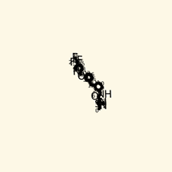 Cc1nnc(C(=O)NC2CCCC(=Cc3cccc(Oc4ccc(C(F)(F)F)cn4)c3)C2)s1